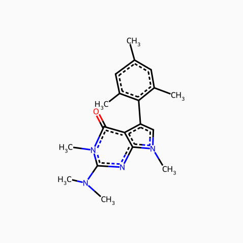 Cc1cc(C)c(-c2cn(C)c3nc(N(C)C)n(C)c(=O)c23)c(C)c1